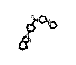 O=C(c1ccc(-n2cc3ccccc3n2)cc1)N1CC[C@H](N2CCCC2)C1